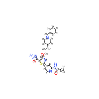 NC(=O)c1sc(-c2ccnc(NC(=O)C3CC3)c2)nc1OCCCC1CCN(Cc2ccccc2)CC1